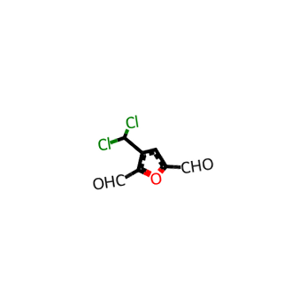 O=Cc1cc(C(Cl)Cl)c(C=O)o1